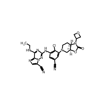 CCNc1nc(Nc2cc(C#N)cc(N3CC[C@H]4[C@H](C3)OC(=O)N4C3COC3)c2Cl)nn2c(C#N)cnc12